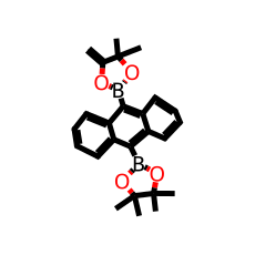 C=C1OB(c2c3ccccc3c(B3OC(C)(C)C(C)(C)O3)c3ccccc23)OC1(C)C